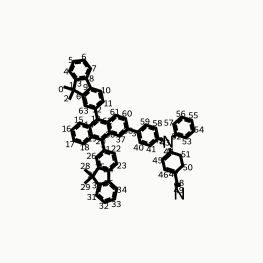 CC1(C)c2ccccc2-c2ccc(-c3c4ccccc4c(-c4ccc5c(c4)C(C)(C)c4ccccc4-5)c4cc(-c5ccc(N(C6=CC=C(C#N)CC6)c6ccccc6)cc5)ccc34)cc21